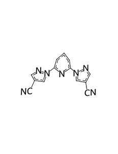 N#Cc1cnn(-c2cccc(-n3cc(C#N)cn3)n2)c1